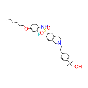 CCCCCCOc1ccc(NS(=O)(=O)c2ccc3c(c2)CCN(CCc2ccc(C(C)(C)CO)cc2)C3)c(F)c1